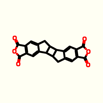 O=C1OC(=O)c2cc3c(cc21)CC1C3C2Cc3cc4c(cc3C12)C(=O)OC4=O